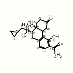 C[N+](C)(CC1CC1)[C@@H]1Cc2ccc(C(N)=S)c(O)c2C2CC(=O)CC[C@]21O